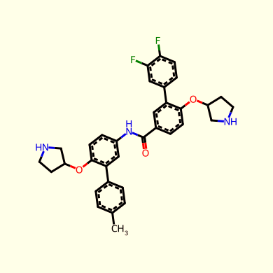 Cc1ccc(-c2cc(NC(=O)c3ccc(OC4CCNC4)c(-c4ccc(F)c(F)c4)c3)ccc2OC2CCNC2)cc1